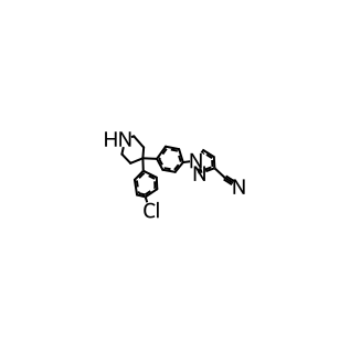 N#Cc1ccn(-c2ccc(C3(c4ccc(Cl)cc4)CCNCC3)cc2)n1